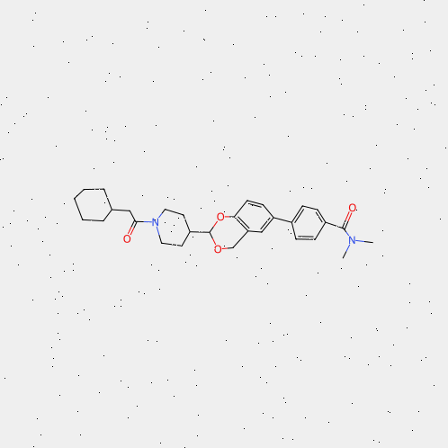 CN(C)C(=O)c1ccc(-c2ccc3c(c2)COC(C2CCN(C(=O)CC4CCCCC4)CC2)O3)cc1